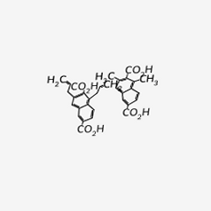 C=CCc1cc2cc(C(=O)O)ccc2c(CC=C)c1C(=O)O.Cc1cc2cc(C(=O)O)ccc2c(C)c1C(=O)O